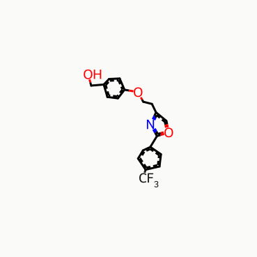 OCc1ccc(OCCc2coc(-c3ccc(C(F)(F)F)cc3)n2)cc1